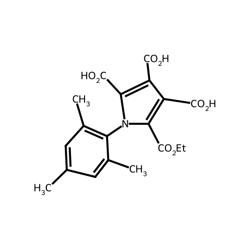 CCOC(=O)c1c(C(=O)O)c(C(=O)O)c(C(=O)O)n1-c1c(C)cc(C)cc1C